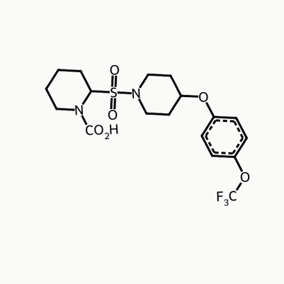 O=C(O)N1CCCCC1S(=O)(=O)N1CCC(Oc2ccc(OC(F)(F)F)cc2)CC1